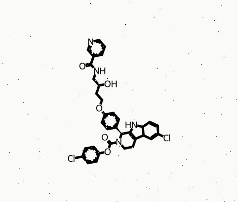 O=C(NCC(O)CCOc1ccc([C@H]2C3=C(CCN2C(=O)Oc2ccc(Cl)cc2)C2C=C(Cl)C=CC2N3)cc1)c1cccnc1